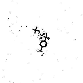 CNC(=O)C1C=CC(C(F)(F)S(=O)(=O)OCC(C)(C)C)=CC1